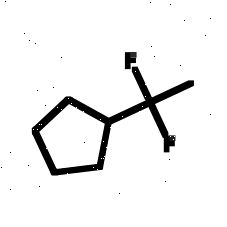 CC(F)(F)C1CCCC1